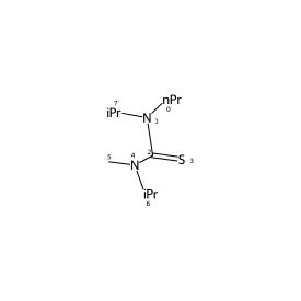 CCCN(C(=S)N(C)C(C)C)C(C)C